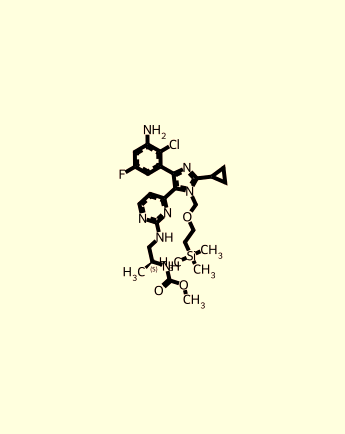 COC(=O)N[C@@H](C)CNc1nccc(-c2c(-c3cc(F)cc(N)c3Cl)nc(C3CC3)n2COCC[Si](C)(C)C)n1